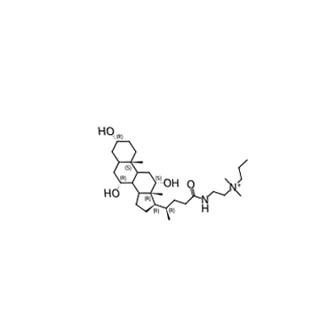 CCC[N+](C)(C)CCNC(=O)CC[C@@H](C)[C@H]1CCC2C3C(C[C@H](O)[C@@]21C)[C@@]1(C)CC[C@@H](O)CC1C[C@H]3O